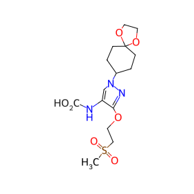 CS(=O)(=O)CCOc1nn(C2CCC3(CC2)OCCO3)cc1NC(=O)O